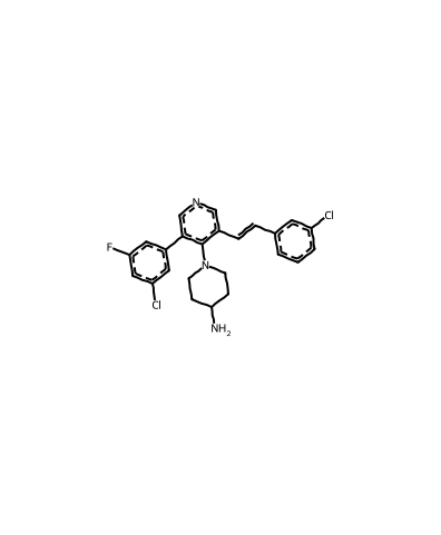 NC1CCN(c2c(C=Cc3cccc(Cl)c3)cncc2-c2cc(F)cc(Cl)c2)CC1